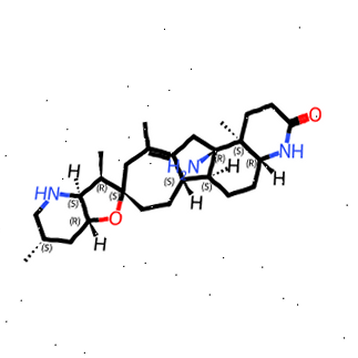 CC1=C2C[C@@]3(N)[C@@H](CC[C@H]4NC(=O)CC[C@@]43C)[C@@H]2CC[C@@]2(C1)O[C@@H]1C[C@H](C)CN[C@H]1[C@H]2C